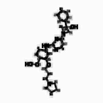 OOc1ccc(Nc2nccc(N3CC(O)(c4ccccc4)C3)n2)cc1OCCCN1CCCC1